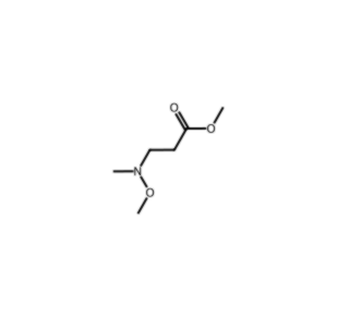 COC(=O)CCN(C)OC